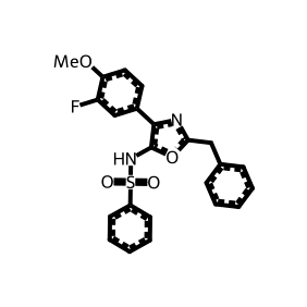 COc1ccc(-c2nc(Cc3ccccc3)oc2NS(=O)(=O)c2ccccc2)cc1F